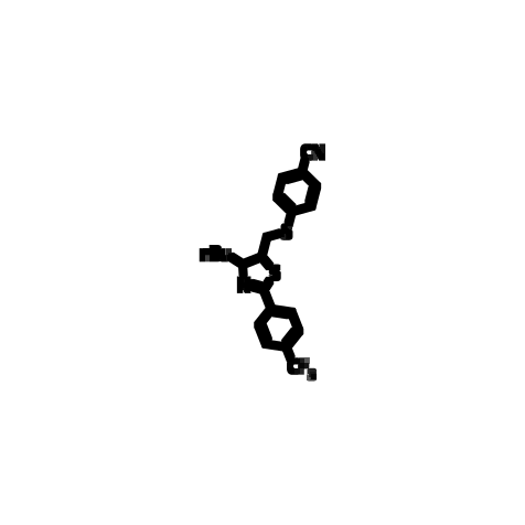 CCCCC1N=C(c2ccc(C(F)(F)F)cc2)SC1CSc1ccc(C#N)cc1